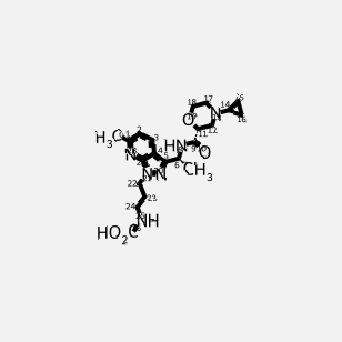 Cc1ccc2c([C@@H](C)NC(=O)[C@H]3CN(C4CC4)CCO3)nn(CCCNC(=O)O)c2n1